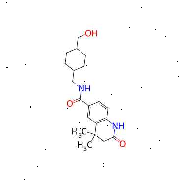 CC1(C)CC(=O)Nc2ccc(C(=O)NCC3CCC(CO)CC3)cc21